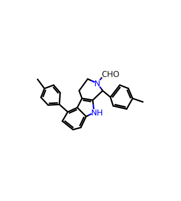 Cc1ccc(-c2cccc3[nH]c4c(c23)CCN(C=O)C4c2ccc(C)cc2)cc1